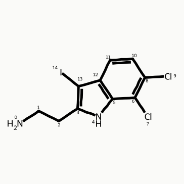 NCCc1[nH]c2c(Cl)c(Cl)ccc2c1I